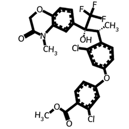 COC(=O)c1ccc(Oc2ccc([C@@H](C)[C@@](O)(c3ccc4c(c3)N(C)C(=O)CO4)C(F)(F)F)c(Cl)c2)cc1Cl